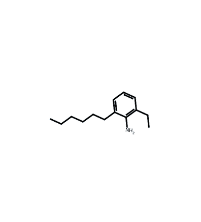 CCCCCCc1cccc(CC)c1N